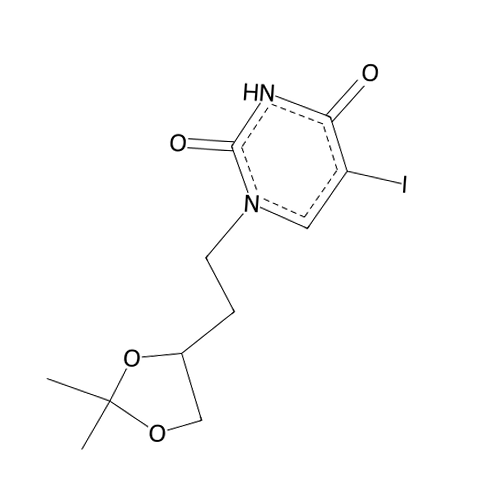 CC1(C)OCC(CCn2cc(I)c(=O)[nH]c2=O)O1